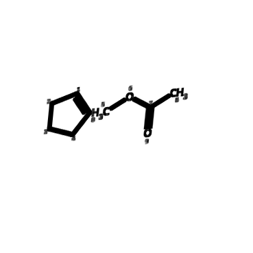 C1=CCCC1.COC(C)=O